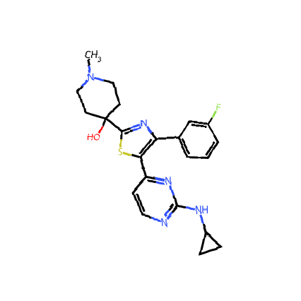 CN1CCC(O)(c2nc(-c3cccc(F)c3)c(-c3ccnc(NC4CC4)n3)s2)CC1